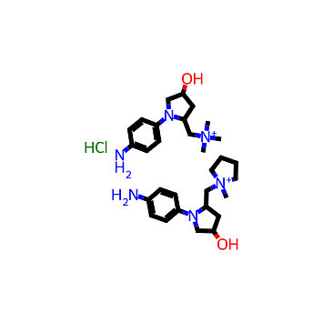 C[N+](C)(C)CC1CC(O)CN1c1ccc(N)cc1.C[N+]1(CC2CC(O)CN2c2ccc(N)cc2)CCCC1.Cl